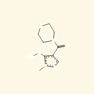 Cn1ncc(C(=O)N2CCOCC2)c1OC(=O)O